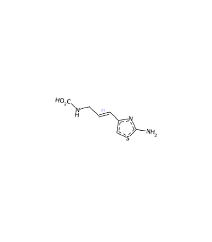 Nc1nc(/C=C/CNC(=O)O)cs1